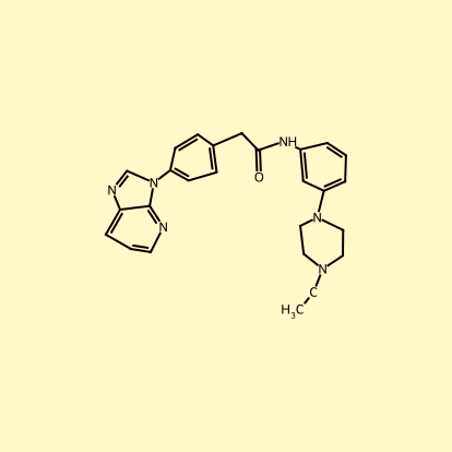 CCN1CCN(c2cccc(NC(=O)Cc3ccc(-n4cnc5cccnc54)cc3)c2)CC1